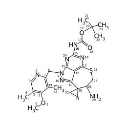 COc1c(C)cnc(Cn2nc3c4c(nc(NC(=O)OC(C)(C)C)nc42)SCC(N)C32CC2)c1C